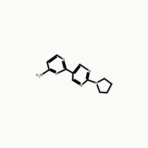 Nc1ccnc(-c2cnc(N3CCCC3)nc2)n1